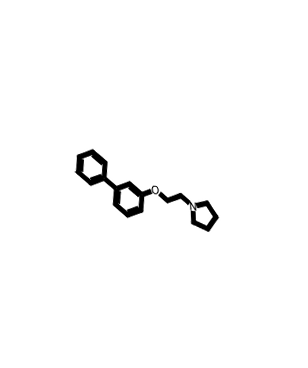 [c]1cccc(-c2cccc(OCCN3CCCC3)c2)c1